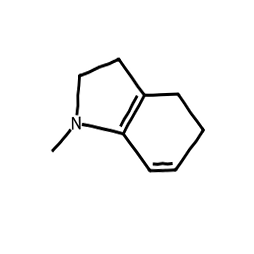 CN1CCC2=C1C=CCC2